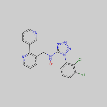 [O-][NH+](Cc1cccnc1-c1cccnc1)c1nnnn1-c1cccc(Cl)c1Cl